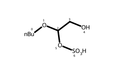 CCCCOC(CO)OS(=O)(=O)O